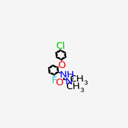 CN(C)C(=O)Nc1c(F)cccc1Oc1ccc(Cl)cc1